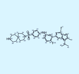 Cc1nc2c(F)cc(-c3nc(Nc4ccc(S(=O)(=O)N5CCC6(CCNCC6)CC5)cc4)ncc3F)cc2n1C(C)C